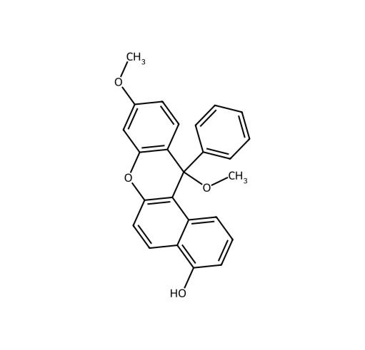 COc1ccc2c(c1)Oc1ccc3c(O)cccc3c1C2(OC)c1ccccc1